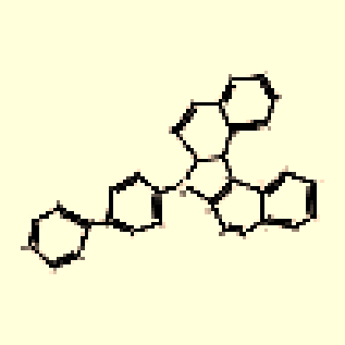 C1=CC2C(c3ccccc31)c1c(ccc3ccccc13)N2c1ccc(-c2ccccc2)cc1